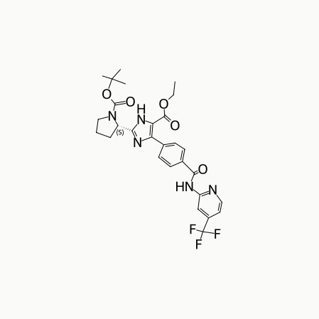 CCOC(=O)c1[nH]c([C@@H]2CCCN2C(=O)OC(C)(C)C)nc1-c1ccc(C(=O)Nc2cc(C(F)(F)F)ccn2)cc1